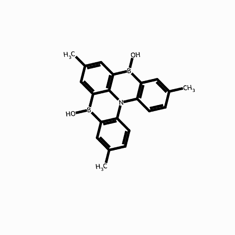 Cc1ccc2c(c1)B(O)c1cc(C)cc3c1N2c1ccc(C)cc1B3O